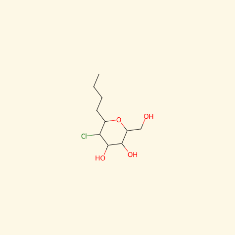 CCCCC1OC(CO)C(O)C(O)C1Cl